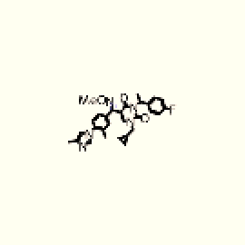 CO/N=C(\c1ccc(-n2cnc(C)c2)c(C)c1)c1cn(CC2CC2)c(=O)n(C(C)c2ccc(F)cc2)c1=O